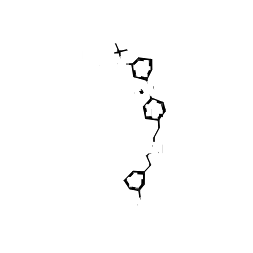 CC(C)(Oc1cccc(S(=O)(=O)c2ccc(CCNC[C@H](O)c3cccc(Cl)c3)cc2)c1)C(=O)O.Cl